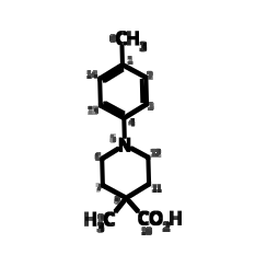 Cc1ccc(N2CCC(C)(C(=O)O)CC2)cc1